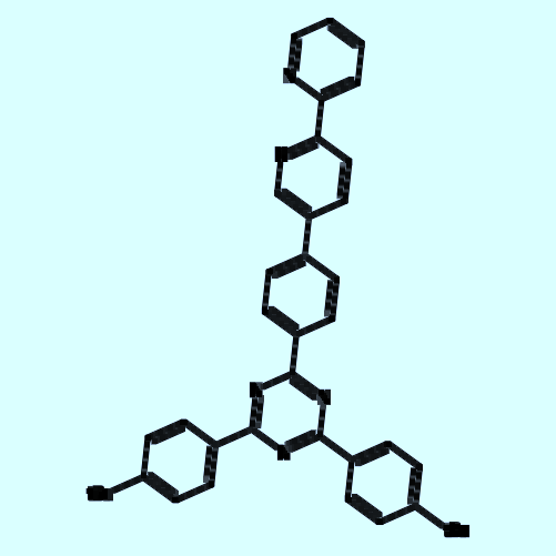 CC(C)(C)c1ccc(-c2nc(-c3ccc(-c4ccc(-c5ccccn5)nc4)cc3)nc(-c3ccc(C(C)(C)C)cc3)n2)cc1